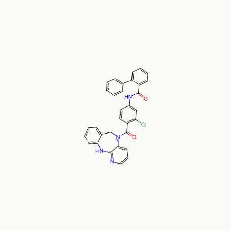 O=C(Nc1ccc(C(=O)N2Cc3ccccc3Nc3ncccc32)c(Cl)c1)c1ccccc1-c1ccccc1